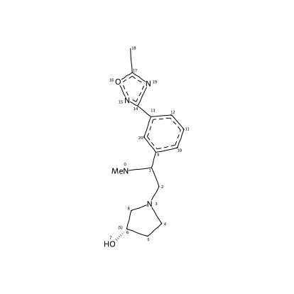 CNC(CN1CC[C@H](O)C1)c1cccc(-c2noc(C)n2)c1